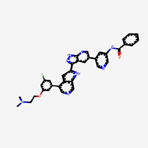 CN(C)CCOc1cc(F)cc(-c2cncc3[nH]c(-c4n[nH]c5ncc(-c6cncc(NC(=O)c7ccccc7)c6)cc45)cc23)c1